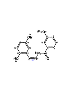 COc1cccc(C(=O)N/N=C\c2cc(O)ccc2O)c1